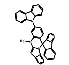 CN1c2cc(-n3c4ccccc4c4ccccc43)ccc2C2(c3ccccc3-c3ccccc32)n2c1nc1ccccc12